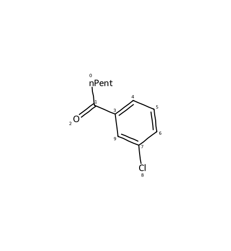 [CH2]CCCCC(=O)c1cccc(Cl)c1